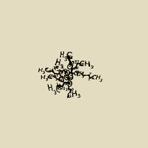 CCCCCCOC(OC(OCCCCCC)C(OCCC)=C(CCC)OCCC)C(OCCC)=C(CCC)OCCC